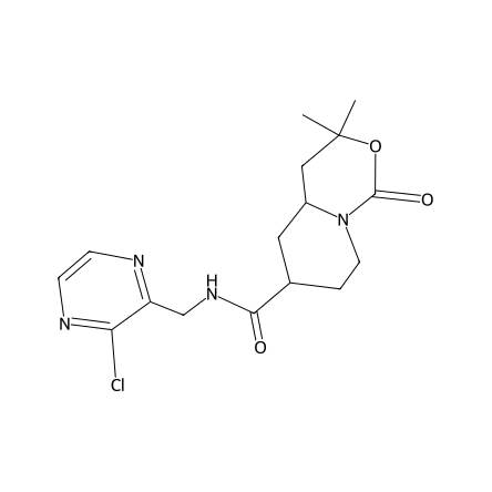 CC1(C)CC2CC(C(=O)NCc3nccnc3Cl)CCN2C(=O)O1